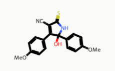 COc1ccc(C2=C(C#N)C(=S)NC2(O)c2ccc(OC)cc2)cc1